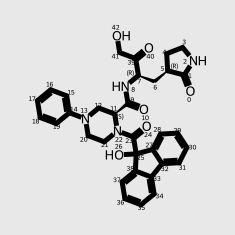 O=C1NCC[C@@H]1C[C@@H](NC(=O)[C@@H]1CN(c2ccccc2)CCN1C(=O)C1(O)c2ccccc2-c2ccccc21)C(=O)CO